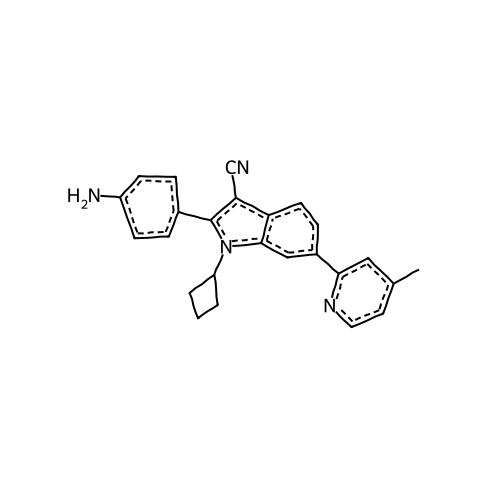 Cc1ccnc(-c2ccc3c(C#N)c(-c4ccc(N)cc4)n(C4CCC4)c3c2)c1